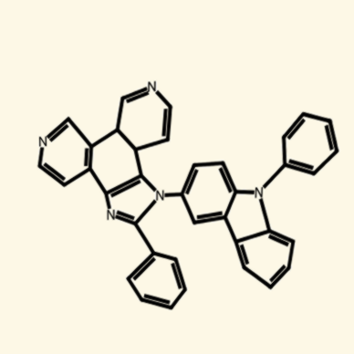 C1=CC2c3c(nc(-c4ccccc4)n3-c3ccc4c(c3)c3ccccc3n4-c3ccccc3)-c3ccncc3C2C=N1